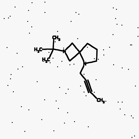 CC#CCN1CCCC12CN(C(C)(C)C)C2